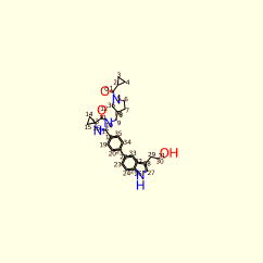 O=C(C1CC1)N1CC[C@@H](CN2C(=O)C3(CC3)N=C2c2ccc(-c3ccc4[nH]cc(CCO)c4c3)cc2)C1